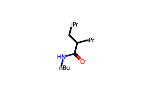 CCCCNC(=O)C(CC(C)C)C(C)C